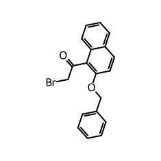 O=C(CBr)c1c(OCc2ccccc2)ccc2ccccc12